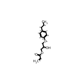 C=CC(=O)OCC(O)COc1ccc(CCC)cc1